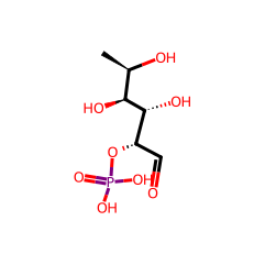 C[C@@H](O)[C@H](O)[C@H](O)[C@H](C=O)OP(=O)(O)O